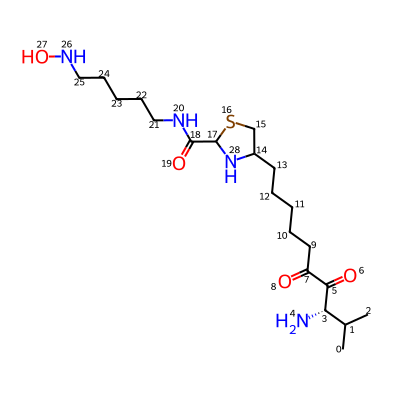 CC(C)[C@H](N)C(=O)C(=O)CCCCCC1CSC(C(=O)NCCCCCNO)N1